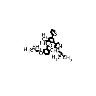 Cc1ccc(OCCN(C)C)cc1C(=O)N[C@H](C)c1cc(-c2cnn(CCN(C)C)c2)cc(-c2cccs2)c1